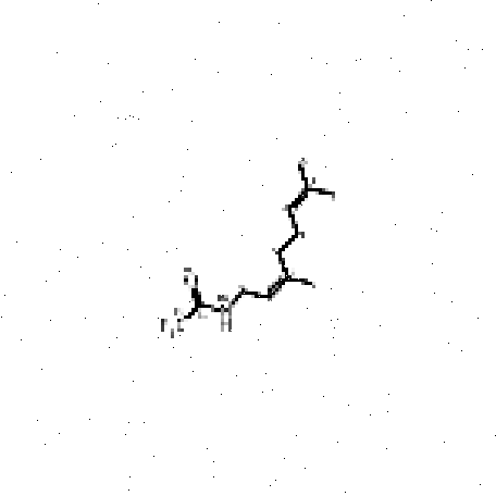 CC(C)=CCCC(C)=CCNC(=O)C(F)(F)F